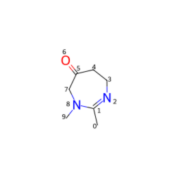 CC1=NCCC(=O)CN1C